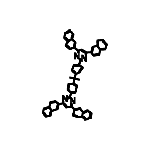 CC(C)(c1ccc(-c2nc(-c3ccc4ccccc4c3)cc(-c3ccc4ccccc4c3)n2)cc1)c1ccc(-c2nc(-c3ccc4ccccc4c3)cc(-c3ccc4ccccc4c3)n2)cc1